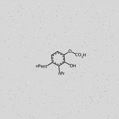 CCCCCc1ccc(OC(=O)O)c(O)c1CCC